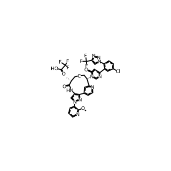 COc1ncccc1-n1cc2c(n1)-c1ccnc(c1)[C@@H](n1cnc(-c3cc(Cl)ccc3-n3cc(C(F)(F)F)nn3)cc1=O)CCC[C@@H](C)C(=O)N2.O=C(O)C(F)(F)F